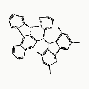 Cc1cc(C)c2c(c1)c1cc(C)cc(C)c1n2B1c2ccccc2-n2c3ccccc3c3c4ccccc4cc1c32